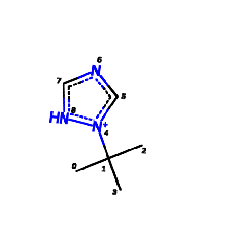 CC(C)(C)[n+]1cnc[nH]1